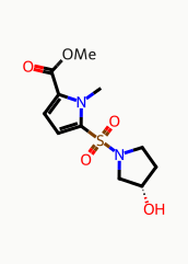 COC(=O)c1ccc(S(=O)(=O)N2CC[C@H](O)C2)n1C